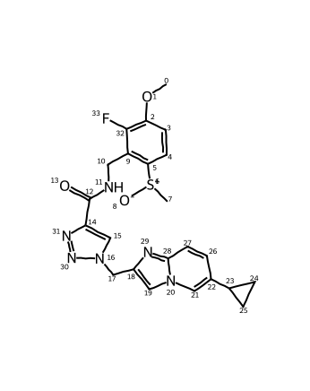 COc1ccc([S+](C)[O-])c(CNC(=O)c2cn(Cc3cn4cc(C5CC5)ccc4n3)nn2)c1F